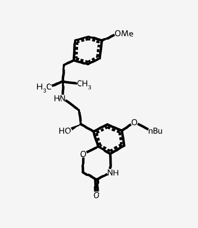 CCCCOc1cc2c(c([C@@H](O)CNC(C)(C)Cc3ccc(OC)cc3)c1)OCC(=O)N2